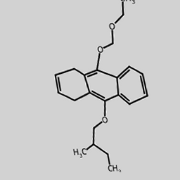 CCOCOc1c2c(c(OCC(C)CC)c3ccccc13)CC=CC2